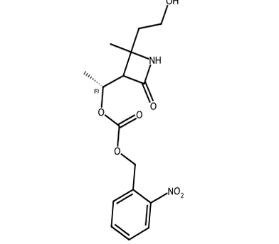 C[C@@H](OC(=O)OCc1ccccc1[N+](=O)[O-])C1C(=O)NC1(C)CCO